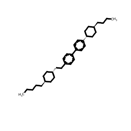 CCCCC[C@H]1CC[C@H](CCc2ccc(-c3ccc([C@H]4CC[C@H](CCCC)CC4)cc3)cc2)CC1